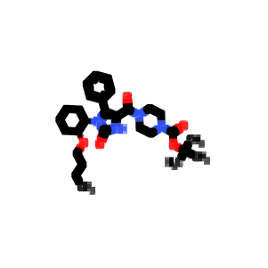 CCCCO[C@@H]1CCCC[C@H]1n1c(-c2ccccc2)c(C(=O)N2CCN(C(=O)OC(C)(C)C)CC2)[nH]c1=O